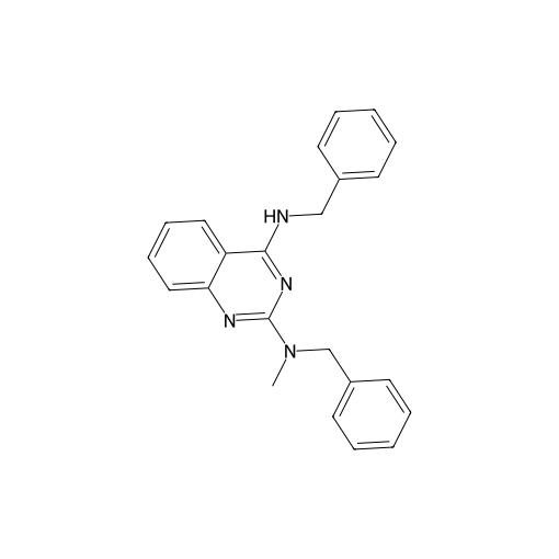 CN(Cc1ccccc1)c1nc(NCc2ccccc2)c2ccccc2n1